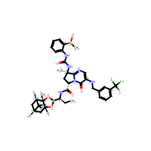 CC[C@H](NC(=O)[C@@H]1C[C@@](C)(NC(=O)Nc2ccccc2[S+](C)[O-])c2ncc(NCc3cccc(C(F)(F)F)c3)c(=O)n21)B1O[C@@H]2C[C@@H]3C[C@@H](C3(C)C)[C@]2(C)O1